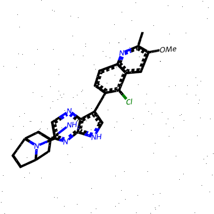 COc1cc2c(Cl)c(-c3c[nH]c4nc(N5C6CCC5CC(N)C6)cnc34)ccc2nc1C